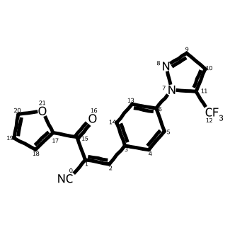 N#CC(=Cc1ccc(-n2nccc2C(F)(F)F)cc1)C(=O)c1ccco1